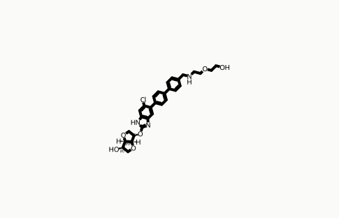 OCCOCCNCc1ccc(-c2ccc(-c3cc4nc(O[C@@H]5CO[C@H]6[C@@H]5OC[C@H]6O)[nH]c4cc3Cl)cc2)cc1